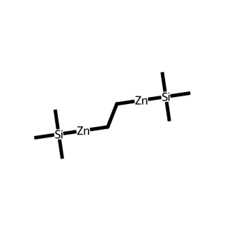 C[Si](C)(C)[Zn][CH2][CH2][Zn][Si](C)(C)C